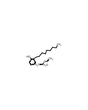 C=COC=C.CCCCCCCCCc1ccccc1O.O